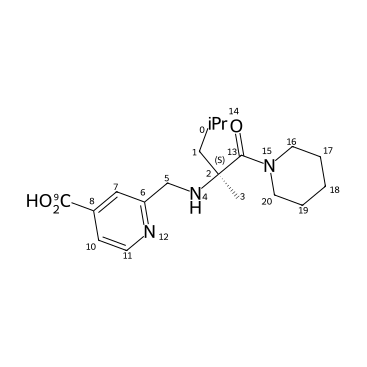 CC(C)C[C@](C)(NCc1cc(C(=O)O)ccn1)C(=O)N1CCCCC1